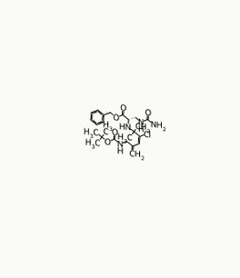 C=C(/C=C(/Cl)C(C)(C)N[C@@H](CNC(N)=O)C(=O)OCc1ccccc1)CNC(=O)OC(C)(C)C